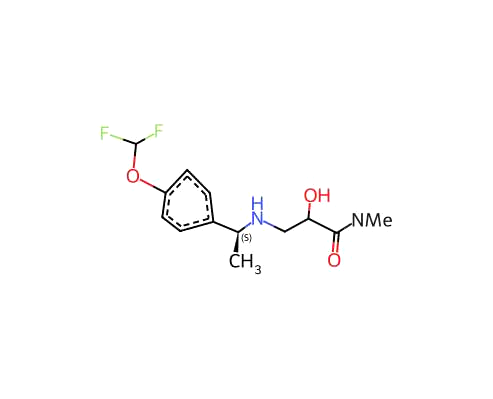 CNC(=O)C(O)CN[C@@H](C)c1ccc(OC(F)F)cc1